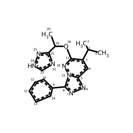 CC(C)c1cc2nnc(-c3ccccc3)n2nc1OC(C)c1nc[nH]n1